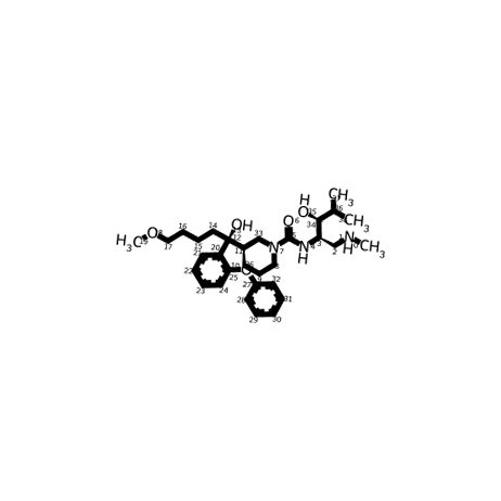 CNC[C@@H](NC(=O)N1CCC[C@@H]([C@@](O)(CCCCOC)c2ccccc2Oc2ccccc2)C1)[C@@H](O)C(C)C